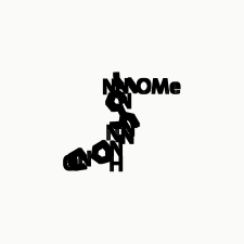 COCCn1c(C)nc2ccc(-c3ccn4nc(N[C@H]5CC[C@@H](N6CCOCC6)CC5)ncc34)nc21